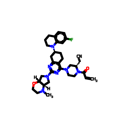 C=CC(=O)N1CCN(c2nc(N3C[C@@H]4[C@@H](C3)OCCN4C)nc3c2CC[C@@H](N2CCCc4ccc(F)cc42)C3)C[C@@H]1CC#N